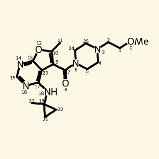 COCCN1CCN(C(=O)c2c(C)oc3ncnc(NC4(C)CC4)c23)CC1